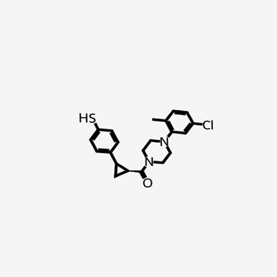 Cc1ccc(Cl)cc1N1CCN(C(=O)[C@H]2CC2c2ccc(S)cc2)CC1